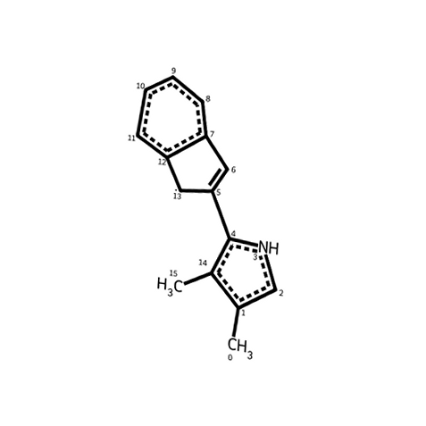 Cc1c[nH]c(C2=Cc3ccccc3[CH]2)c1C